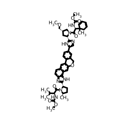 COC[C@H]1C[C@@H](c2ncc(-c3ccc4c(c3)COc3cc5c(ccc6nc([C@@H]7CC[C@H](C)N7C(=O)[C@@H](NC(=O)OC)C(C)C)[nH]c65)cc3-4)[nH]2)N(C(=O)[C@H](NC(=O)OC)C2(C)C=CC=CC2)C1